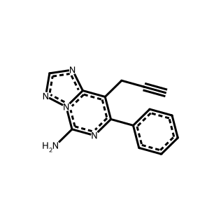 C#CCc1c(-c2ccccc2)nc(N)n2ncnc12